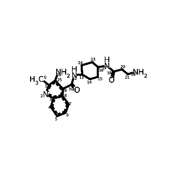 Cc1nc2ccccc2c(C(=O)NC2CCC(NC(=O)CCN)CC2)c1N